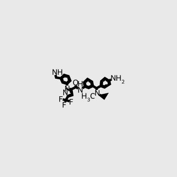 CN(C1CC1)C(c1ccc(N)cc1)c1cccc(NC(=O)c2cc(C(F)(F)F)nn2-c2cccc(CN)c2)c1